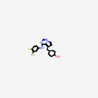 OC1CCC(Cc2ccn3ncnc(Nc4ccc(F)c(Cl)c4)c23)CC1